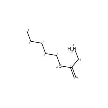 C=C(CN)SCCCCC